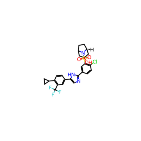 O=S(=O)(c1cc(-c2ncc(-c3ccc(C4CC4)c(C(F)(F)F)c3)[nH]2)ccc1Cl)N1C2CC[C@@H]1CC(O)C2